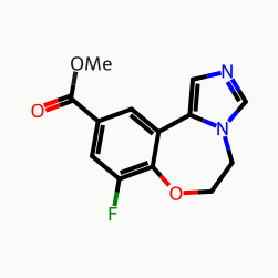 COC(=O)c1cc(F)c2c(c1)-c1cncn1CCO2